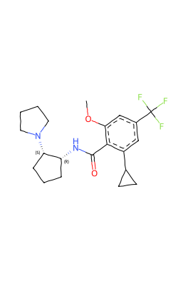 COc1cc(C(F)(F)F)cc(C2CC2)c1C(=O)N[C@@H]1CCC[C@@H]1N1CCCC1